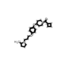 CC1CCCN1CCCOc1ccc(OC2CCN(C(=O)C3CCC3)CC2)cc1